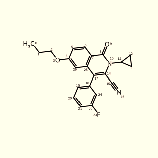 CCCOc1ccc2c(=O)n(C3CC3)c(C#N)c(-c3cccc(F)c3)c2c1